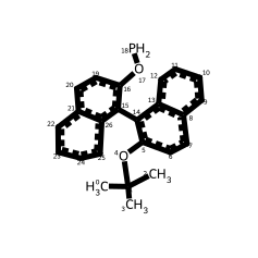 CC(C)(C)Oc1ccc2ccccc2c1-c1c(OP)ccc2ccccc12